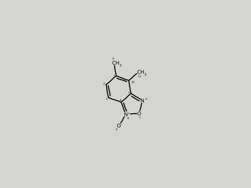 Cc1ccc2c(no[n+]2[O-])c1C